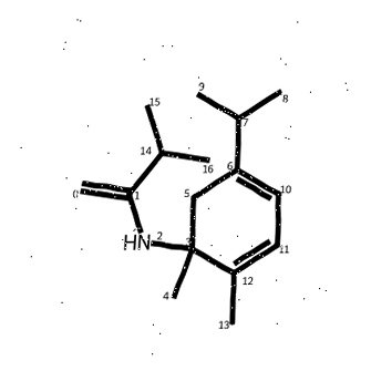 C=C(NC1(C)CC(C(C)C)=CC=C1C)C(C)C